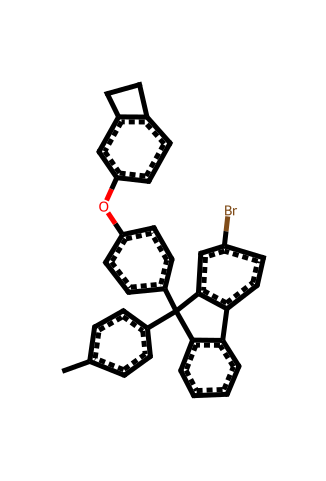 Cc1ccc(C2(c3ccc(Oc4ccc5c(c4)CC5)cc3)c3ccccc3-c3ccc(Br)cc32)cc1